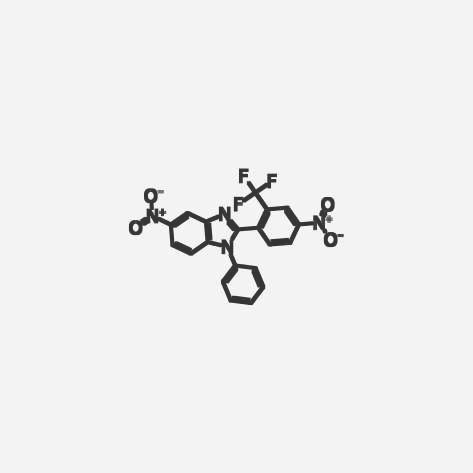 O=[N+]([O-])c1ccc(-c2nc3cc([N+](=O)[O-])ccc3n2-c2ccccc2)c(C(F)(F)F)c1